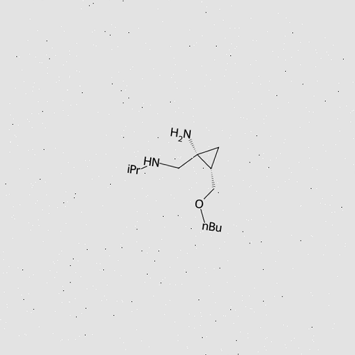 CCCCOC[C@H]1C[C@]1(N)CNC(C)C